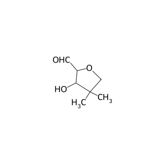 CC1(C)COC(C=O)C1O